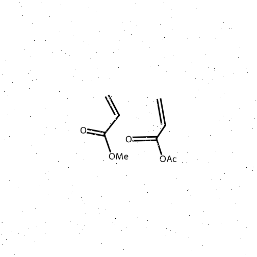 C=CC(=O)OC.C=CC(=O)OC(C)=O